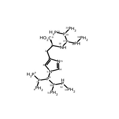 O=C(O)[C@H](Cc1cn(P(P(P)P)P(P)PP)cn1)NP(PP)P(P)P